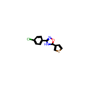 Clc1ccc(C2=NOC(c3ccsc3)N2)cc1